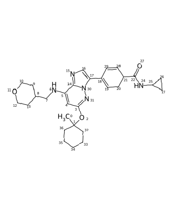 CC1(Oc2cc(NCC3CCOCC3)c3ncc(C4=CCC(C(=O)NC5CC5)C=C4)n3n2)CCCCC1